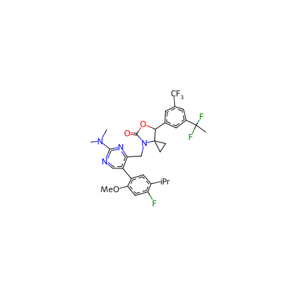 COc1cc(F)c(C(C)C)cc1-c1cnc(N(C)C)nc1CN1C(=O)OC(c2cc(C(C)(F)F)cc(C(F)(F)F)c2)C12CC2